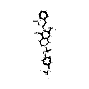 COC[C@H](Cc1ccccc1)n1c(N)nc2c(c1=O)CCN(C(=O)Oc1ccc(OC(F)F)cc1)C2